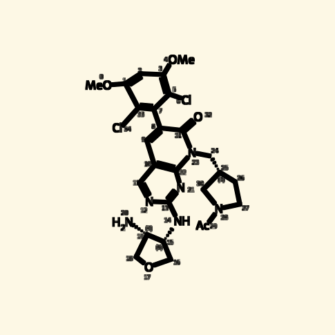 COc1cc(OC)c(Cl)c(-c2cc3cnc(N[C@@H]4COC[C@@H]4N)nc3n(C[C@@H]3CCN(C(C)=O)C3)c2=O)c1Cl